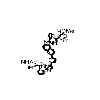 COC(=O)N[C@H](C(=O)N1CCC[C@H]1c1nc2ccc3nc(-c4ccc(-c5cnc([C@@H]6CCCN6C(=O)[C@@H](NC(C)=O)C(C)C)[nH]5)s4)ccc3c2[nH]1)C(C)C